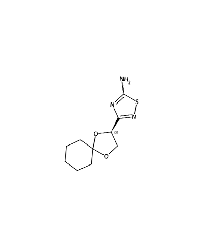 Nc1nc([C@H]2COC3(CCCCC3)O2)ns1